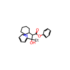 CCC(O)(c1ccccn1)C(C(=O)Oc1ccccc1)C1CCCCC1